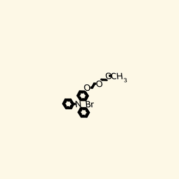 COCCOCCOc1ccc(N(c2ccccc2)c2ccccc2Br)cc1